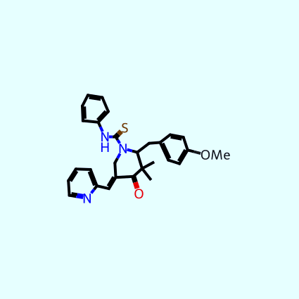 COc1ccc(CC2N(C(=S)Nc3ccccc3)CC(=Cc3ccccn3)C(=O)C2(C)C)cc1